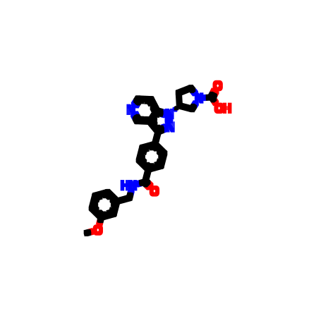 COc1cccc(CNC(=O)c2ccc(-c3nn([C@@H]4CCN(C(=O)O)C4)c4ccncc34)cc2)c1